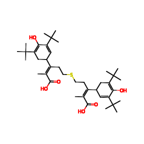 CC(C(=O)O)=C(CCSCCC(=C(C)C(=O)O)C1C=C(C(C)(C)C)C(O)=C(C(C)(C)C)C1)C1C=C(C(C)(C)C)C(O)=C(C(C)(C)C)C1